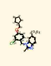 CCOC(=O)c1ccc2nc(C)n(Cc3ccc(OCC4CCCC4)cc3Cl)c2c1